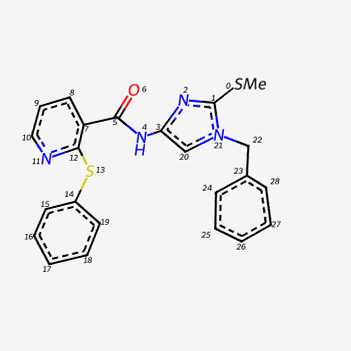 CSc1nc(NC(=O)c2cccnc2Sc2ccccc2)cn1Cc1ccccc1